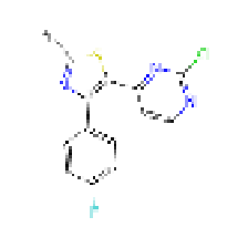 CC(C)c1nc(-c2ccc(F)cc2)c(-c2ccnc(Cl)n2)s1